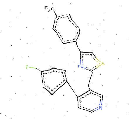 Fc1ccc(-c2ccncc2-c2nc(-c3ccc(C(F)(F)F)cc3)cs2)cc1